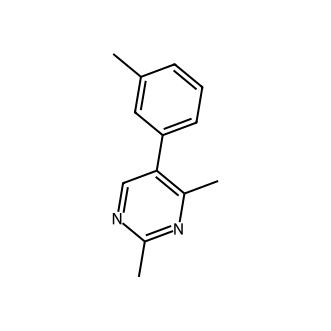 Cc1cccc(-c2cnc(C)nc2C)c1